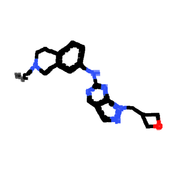 CN1CCc2ccc(Nc3ncc4cnn(CC5COC5)c4n3)cc2C1